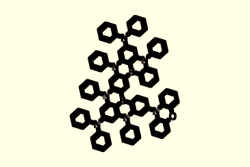 c1ccc(N(c2ccccc2)c2cc3c4c(c2)N(c2ccccc2)c2cc5c(cc2B4c2ccccc2N3c2ccccc2)B2c3ccc(N4c6ccccc6Oc6ccccc64)cc3N(c3ccccc3)c3cc(N(c4ccccc4)c4ccccc4)cc(c32)N5c2ccccc2)cc1